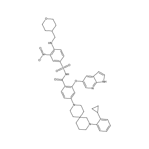 O=C(NS(=O)(=O)c1ccc(NCC2CCOCC2)c([N+](=O)[O-])c1)c1ccc(N2CCC3(CCCN(c4ccccc4C4CC4)C3)CC2)cc1Oc1cnc2[nH]ccc2c1